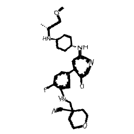 COC[C@@H](C)N[C@H]1CC[C@H](Nc2cc(-c3ccc(F)c(NCC4(C#N)CCOCC4)c3)c(Cl)cn2)CC1